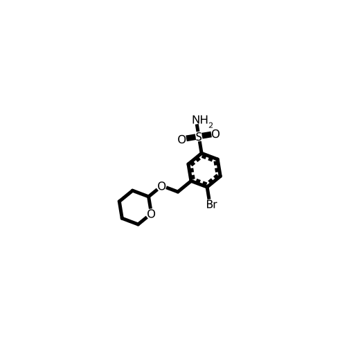 NS(=O)(=O)c1ccc(Br)c(COC2CCCCO2)c1